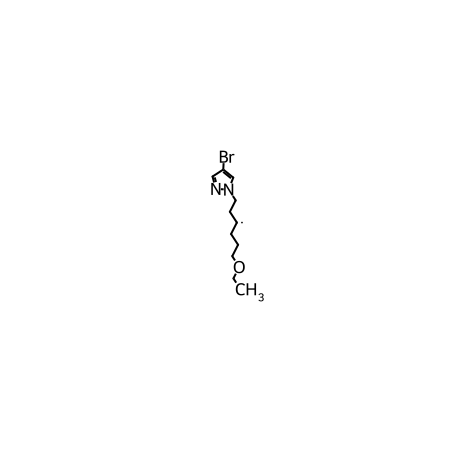 CCOCCC[CH]CCn1cc(Br)cn1